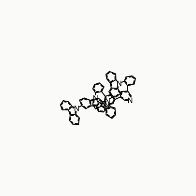 c1ccc(-n2c3ccccc3c3cc(-n4c5ccccc5c5ccccc54)ccc32)c(-c2cncc(-c3cncc(-c4ccccc4-n4c5ccccc5c5cc(-n6c7ccccc7c7ccccc76)ccc54)c3)c2)c1